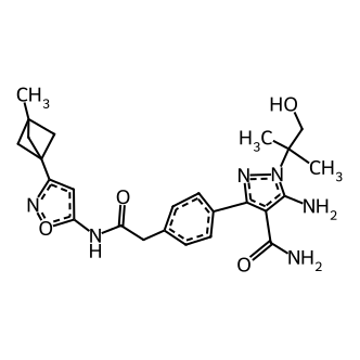 CC12CC(c3cc(NC(=O)Cc4ccc(-c5nn(C(C)(C)CO)c(N)c5C(N)=O)cc4)on3)(C1)C2